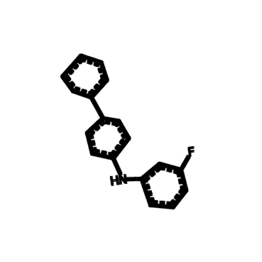 Fc1cccc(Nc2ccc(-c3ccccc3)cc2)c1